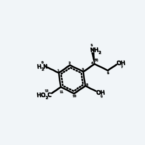 Nc1cc([C@@H](N)CO)c(O)cc1C(=O)O